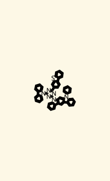 c1ccc(-n2c3ccccc3c3cc4c5ccccc5n(-c5nc(-c6ccc7c(c6)sc6ccccc67)nc(-n6c7ccccc7c7ccccc76)n5)c4cc32)cc1